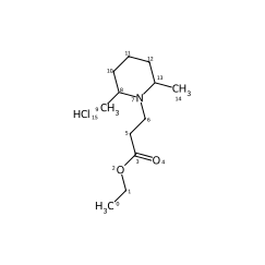 CCOC(=O)CCN1C(C)CCCC1C.Cl